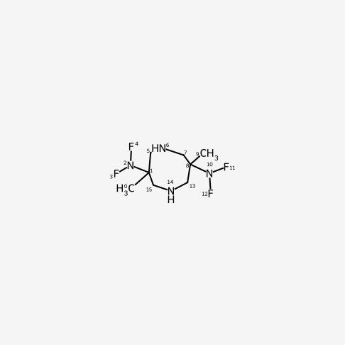 CC1(N(F)F)CNCC(C)(N(F)F)CNC1